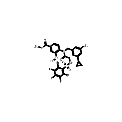 CCOc1cc(C(=O)OC(C)(C)C)ccc1N(Cc1cc(C2CC2)cc(C(C)(C)C)c1)C(=O)CNS(=O)(=O)c1c(F)c(F)c(F)c(F)c1Br